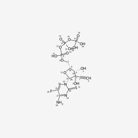 C#CC1(O)[C@@H](O)[C@@H](COP(=O)(O)OP(=O)(O)OP(=O)(O)O)O[C@H]1n1cc(F)c(N)nc1=S